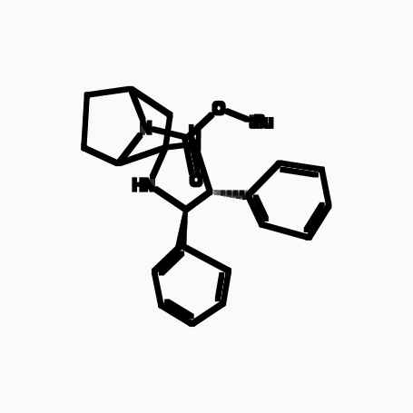 CC(C)(C)OC(=O)N1C2CCC1C1(C2)N[C@H](c2ccccc2)[C@@H](c2ccccc2)N1